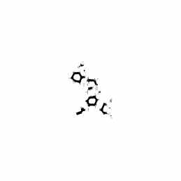 C=CC(=O)NC1CC(NC2NCC(Cl)C(NC3CCCCC3P(C)(C)=O)N2)C(OC)CC1OC(COC)CN(C)C